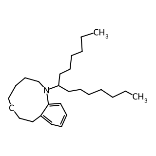 CCCCCCCC(CCCCCC)N1CCCCCCCc2ccccc21